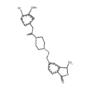 COc1cc(CC(=O)N2CCN(CCc3ccc4c(c3)C(C)OC4=O)CC2)ccc1C#N